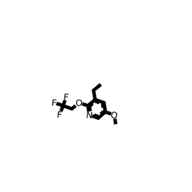 CCc1cc(OC)cnc1OCC(F)(F)F